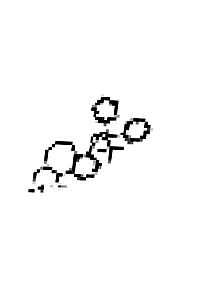 CC(C)(C)[Si](Oc1cccc2c1CCCC(CO)C2O)(c1ccccc1)c1ccccc1